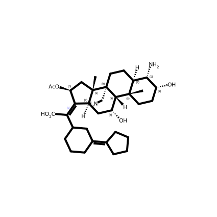 CC(=O)O[C@H]1C[C@@]2(C)[C@@H](C[C@@H](O)[C@H]3[C@@]4(C)CC[C@@H](O)[C@@H](N)[C@@H]4CC[C@@]32CN)/C1=C(/C(=O)O)C1CCCC(=C2CCCC2)C1